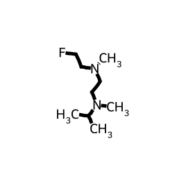 CC(C)N(C)CCN(C)CCF